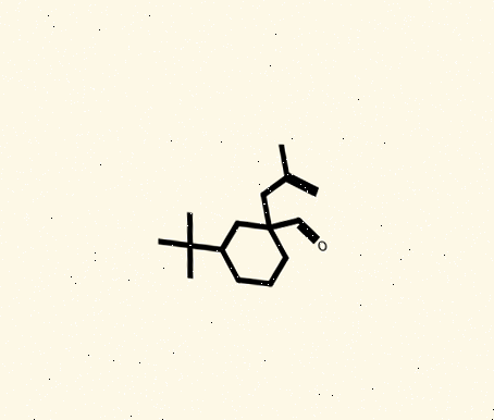 C=C(C)CC1(C=O)CCCC(C(C)(C)C)C1